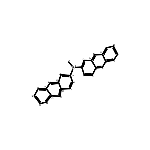 CB(c1ccc2cc3ccccc3cc2c1)c1ccc2cc3ccccc3cc2c1